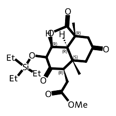 CC[Si](CC)(CC)OC1C(=O)[C@H](CC(=O)OC)[C@@]2(C)CC(=O)C[C@@]3(C)C(=O)O[C@@H]1[C@H]23